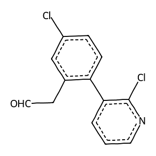 O=CCc1cc(Cl)ccc1-c1cccnc1Cl